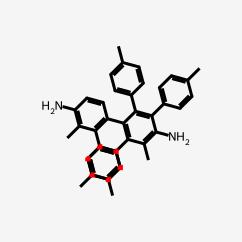 Cc1ccc(-c2c(-c3c(-c4ccc(C)cc4)c(C)c(N)c(-c4ccc(C)cc4)c3-c3ccc(C)cc3)ccc(N)c2C)cc1